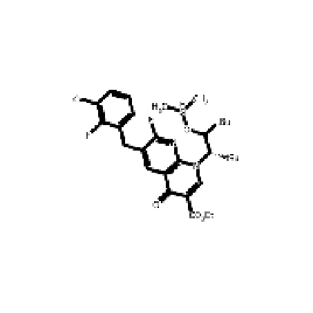 CCOC(=O)c1cn([C@H](C(O[SiH](C)C)C(C)(C)C)C(C)(C)C)c2nc(F)c(Cc3cccc(Cl)c3F)cc2c1=O